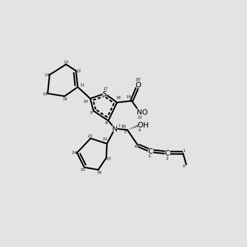 CC=C=C=C[C@@H](O)N(c1cc(C2=CCCCC2)sc1C(=O)N=O)C1CC=CCC1